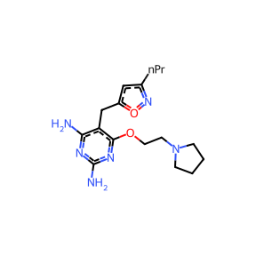 CCCc1cc(Cc2c(N)nc(N)nc2OCCN2CCCC2)on1